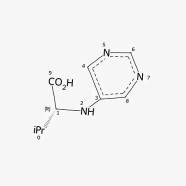 CC(C)[C@@H](Nc1cncnc1)C(=O)O